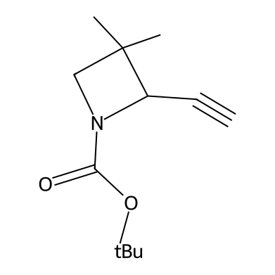 C#CC1N(C(=O)OC(C)(C)C)CC1(C)C